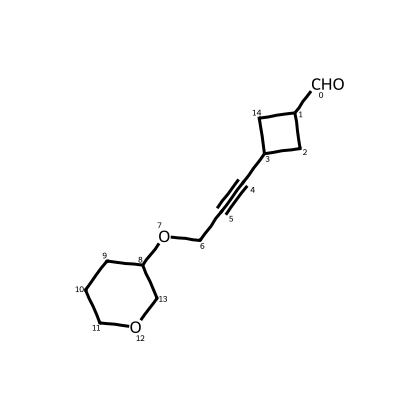 O=CC1CC(C#CCOC2CCCOC2)C1